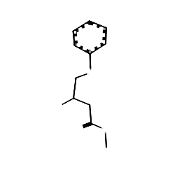 COC(=O)CC(C)COc1ccccc1